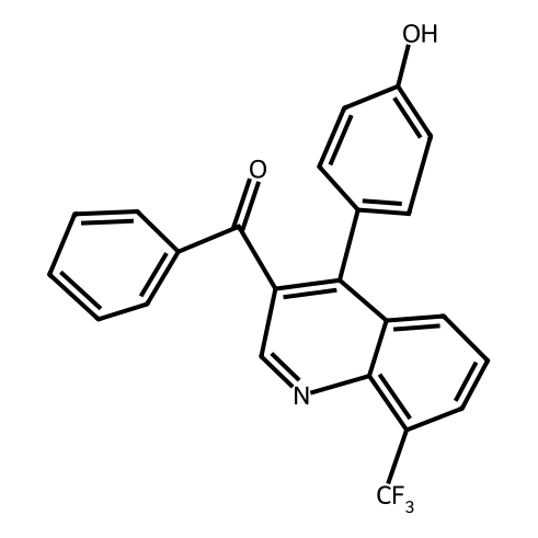 O=C(c1ccccc1)c1cnc2c(C(F)(F)F)cccc2c1-c1ccc(O)cc1